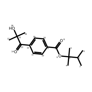 CC(C)C(C)(C)OC(=O)c1ccc(C(=O)C(C)(C)O)cc1